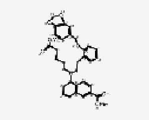 COC(=O)CCCCN(CCc1ccccc1OCc1ccc2c(c1)OCO2)C1CCCc2cc(C(=O)OC)ccc21